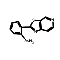 [AsH2]c1ccccc1-c1nc2ccncc2s1